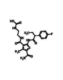 CCC(C(=O)Nc1sc(C(N)=O)c(C)c1C(=O)NCCNC(=O)O)c1ccc(F)cc1